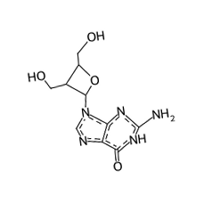 Nc1nc2c(ncn2C2OC(CO)C2CO)c(=O)[nH]1